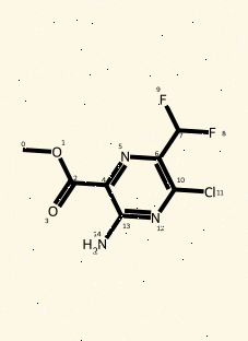 COC(=O)c1nc(C(F)F)c(Cl)nc1N